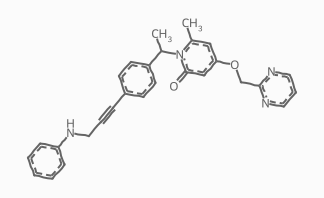 Cc1cc(OCc2ncccn2)cc(=O)n1C(C)c1ccc(C#CCNc2ccccc2)cc1